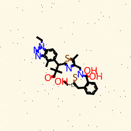 CC[C@H]1Cc2ccccc2C(O)(O)N(Cc2nc(C(c3ccc4c(nnn4CC)c3C)C(C)(C)C(=O)O)sc2C)S1